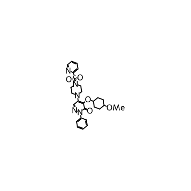 COC1CCC(Oc2c(N3CCN(S(=O)(=O)c4ccccn4)CC3)cnn(-c3ccccc3)c2=O)CC1